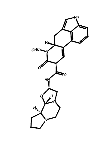 O=CN1C(=O)[C@H](C(=O)N[C@H]2CN3CCN4CCC[C@H]4[C@@H]3O2)C=C2c3cccc4[nH]cc(c34)C[C@H]21